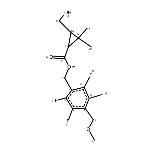 COCc1c(F)c(F)c(COC(=O)C2C(CO)C2(C)C)c(F)c1F